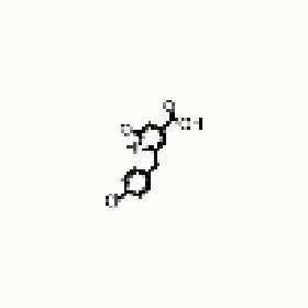 O=C(O)c1cc(Cc2ccc(Cl)cc2)[nH]c(=O)c1